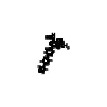 CC(CCN1CC=C(c2ccc(-c3ccoc3)cc2)CC1)(C(=O)NO)S(C)(=O)=O